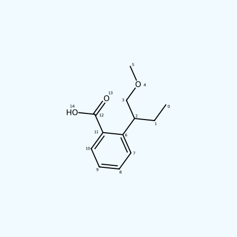 CCC(COC)c1ccccc1C(=O)O